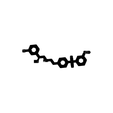 O=[C]c1cccc(S(=O)(=O)c2ccc(CCNC[C@H](O)c3cccc(Cl)c3)cc2)c1